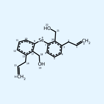 C=CCc1cccc([Se]c2cccc(CC=C)c2CO)c1CO